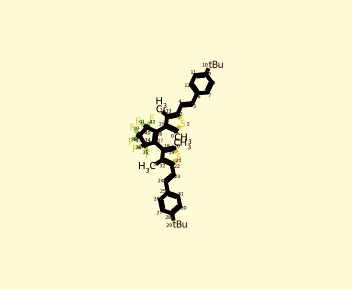 Cc1sc(C=Cc2ccc(C(C)(C)C)cc2)c(C)c1C1=C(c2c(C)sc(C=Cc3ccc(C(C)(C)C)cc3)c2C)C(F)(F)C(F)(F)C1(F)F